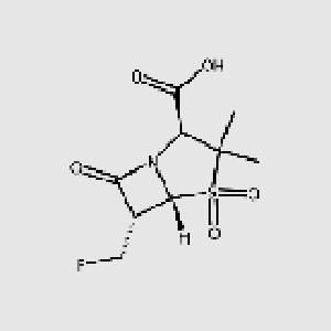 CC1(C)[C@H](C(=O)O)N2C(=O)[C@@H](CF)[C@H]2S1(=O)=O